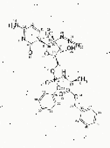 C[C@H](NP(=O)(OC[C@H]1O[C@@H](n2ccc(N)nc2=O)[C@](C)(N=[N+]=[N-])[C@@H]1O)Oc1ccccc1)C(=O)OCc1ccccc1